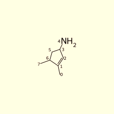 CC1=CC(N)CC1C